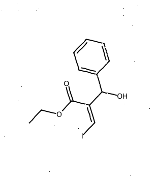 CCOC(=O)/C(=C\I)C(O)c1ccccc1